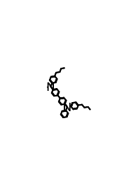 CCCCc1ccc(N(C)c2ccc(-c3ccc(N(c4ccccc4)c4ccc(CCCC)cc4)cc3)cc2)cc1